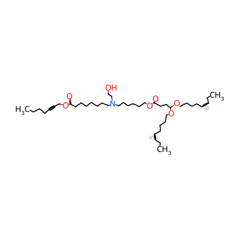 CC/C=C\CCCCOC(CCC(=O)OCCCCCCN(CCO)CCCCCCCC(=O)OCC#CCCCC)OCCCC/C=C\CC